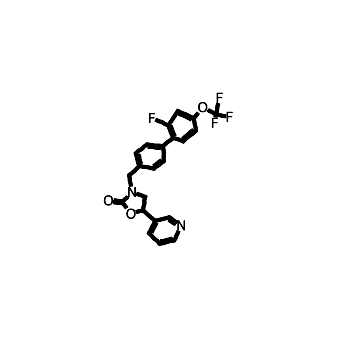 O=C1OC(c2cccnc2)CN1Cc1ccc(-c2ccc(OC(F)(F)F)cc2F)cc1